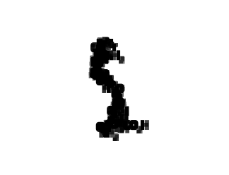 CCCN(CCC)C(=O)C1=Cc2ccc(-c3cccc(S(=O)(=O)N4CC(CNC(=O)OCc5ccc(NC(=O)[C@H](CCCNC(N)=O)NC(=O)[C@@H](NC(=O)O)C(C)C)cc5)C4)c3)cc2N=C(N)C1